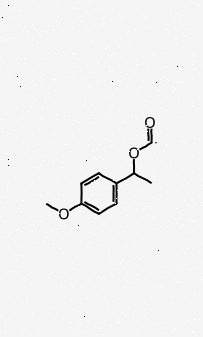 COc1ccc(C(C)O[C]=O)cc1